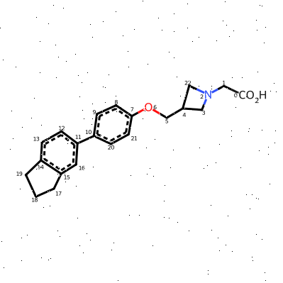 O=C(O)CN1CC(COc2ccc(-c3ccc4c(c3)CCC4)cc2)C1